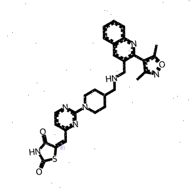 Cc1noc(C)c1-c1nc2ccccc2cc1CNCC1CCN(c2nccc(/C=C3/SC(=O)NC3=O)n2)CC1